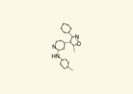 Cc1ccc(Nc2cc(-c3c(-c4ccccc4)noc3C)ccn2)cc1